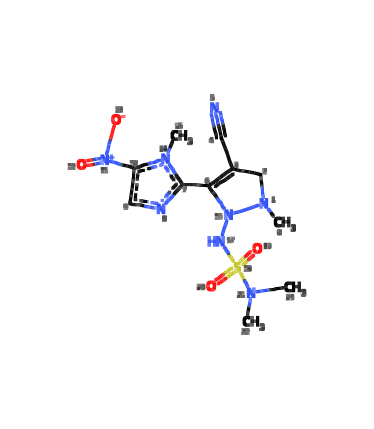 CN1CC(C#N)=C(c2ncc([N+](=O)[O-])n2C)N1NS(=O)(=O)N(C)C